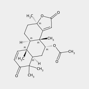 CC(=O)O[C@@H]1C[C@H]2C(C)(C)C(=O)C=C[C@]2(C)[C@H]2CC[C@@]3(C)OC(=O)C=C3[C@@]21C